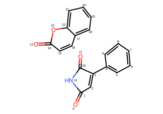 O=C1C=C(c2ccccc2)C(=O)N1.O=c1ccc2ccccc2o1